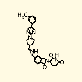 Cc1cccc(-c2cnc(N3CCC(CNCc4ccc5c(c4)CN(C4CCC(=O)NC4=O)C5=O)CC3)nc2)c1